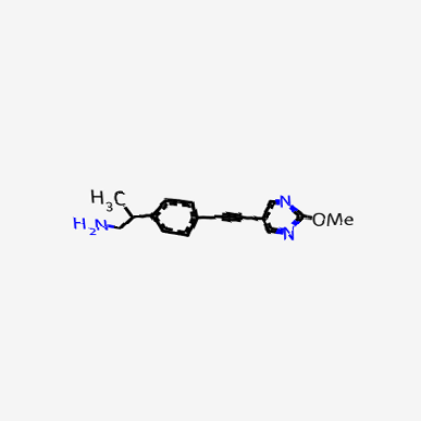 COc1ncc(C#Cc2ccc(C(C)CN)cc2)cn1